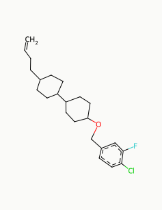 C=CCCC1CCC(C2CCC(OCc3ccc(Cl)c(F)c3)CC2)CC1